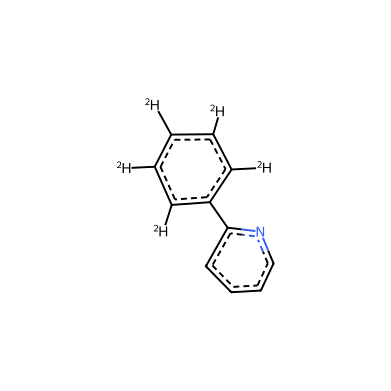 [2H]c1c([2H])c([2H])c(-c2ccccn2)c([2H])c1[2H]